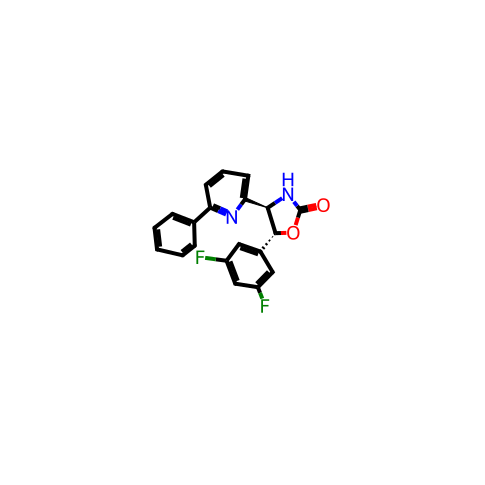 O=C1N[C@H](c2cccc(-c3ccccc3)n2)[C@@H](c2cc(F)cc(F)c2)O1